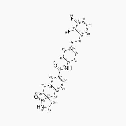 O=C(NC1CCN(CCc2cccc(F)c2F)CC1)c1ccc2c(c1)CCC1(CCNC1=O)C2